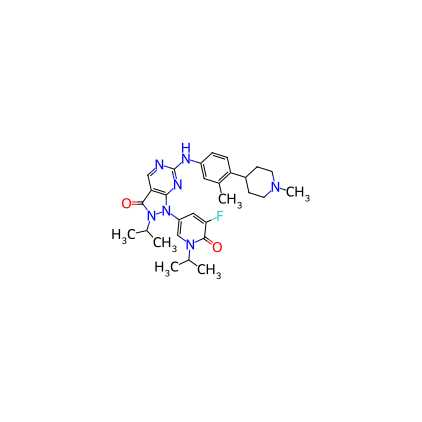 Cc1cc(Nc2ncc3c(=O)n(C(C)C)n(-c4cc(F)c(=O)n(C(C)C)c4)c3n2)ccc1C1CCN(C)CC1